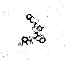 Cc1c(O)cccc1C(=O)N[C@@H](Cc1ccccc1)[C@H](O)C(=O)N1C[C@H](F)C[C@H]1C(=O)NCc1ccccc1C(F)(F)F